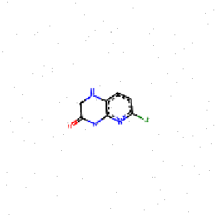 O=C1CNc2ccc(Cl)nc2[N]1